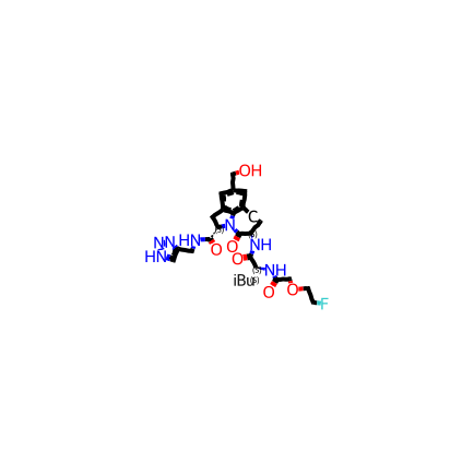 CC[C@H](C)[C@H](NC(=O)COCCF)C(=O)N[C@H]1CCc2cc(CO)cc3c2N(C1=O)[C@H](C(=O)NCc1c[nH]nn1)C3